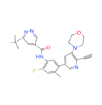 C#Cc1ncc(-c2cc(NC(=O)c3cnnc(C(C)(C)C)c3)c(F)cc2C)cc1N1CCOCC1